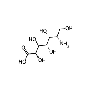 N[C@@H](CO)[C@@H](O)[C@H](O)[C@H](O)[C@@H](O)C(=O)O